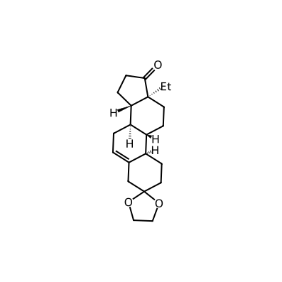 CC[C@]12CC[C@H]3[C@@H](CC=C4CC5(CC[C@@H]43)OCCO5)[C@@H]1CCC2=O